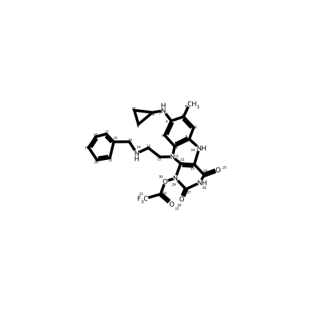 Cc1cc2c(cc1NC1CC1)N(CCNCc1ccccc1)c1c(c(=O)[nH]c(=O)n1OC(=O)C(F)(F)F)N2